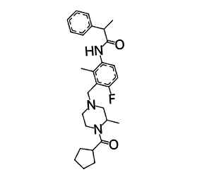 Cc1c(NC(=O)C(C)c2ccccc2)ccc(F)c1CN1CCN(C(=O)C2CCCC2)C(C)C1